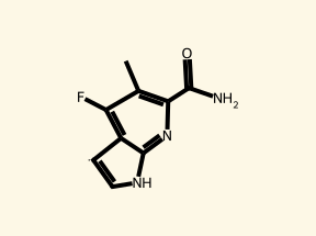 Cc1c(C(N)=O)nc2[nH]c[c]c2c1F